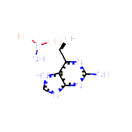 C=Cc1nc(N)nc2nc[nH]c12.NP(O)O